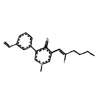 C=Cc1cccc(-c2cn(C)cc(C=C(I)CCCC)c2=S)c1